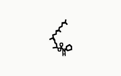 CC(C)=CCC/C(C)=C/CC/C(C)=C/CCC(C)OC(=O)NC1CCCCC1